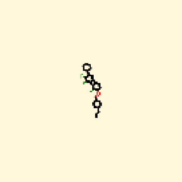 CCCC1CCC(COc2ccc3c(c2F)-c2c-3cc(C3CCCCC3)c(F)c2F)CC1